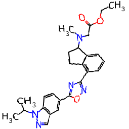 CCOC(=O)CN(C)C1CCc2c(-c3noc(-c4ccc5c(cnn5C(C)C)c4)n3)cccc21